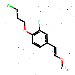 CO/C=C/c1ccc(OCCCCl)c(F)c1